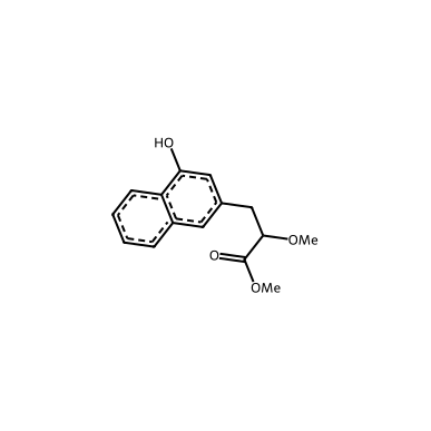 COC(=O)C(Cc1cc(O)c2ccccc2c1)OC